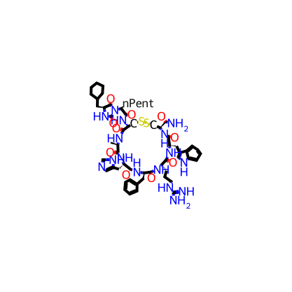 CCCCC[C@@H](C(=O)N[C@H]1CSSC[C@@H](C(N)=O)NC(=O)[C@H](Cc2c[nH]c3ccccc23)NC(=O)[C@H](CCCNC(=N)N)NC(=O)[C@@H](Cc2ccccc2)NC(=O)[C@H](Cc2cnc[nH]2)NC(=O)[C@@H](C)NC1=O)N1C(=O)N[C@@H](CC2CCCCC2)C1=O